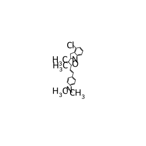 CN(C)c1ccc(C=CC2ON3c4cccc(Cl)c4CC3C2(C)C)cc1